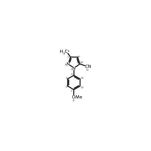 COc1ccc(-n2nc(C)cc2C#N)cc1